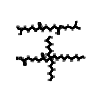 CC(C)CCCOC(=O)CCCCC(=O)OCCCC(C)C.CCCCCCCCCC(CCCCCC)(CCCCCC)OC(=O)CCCCC(=O)O